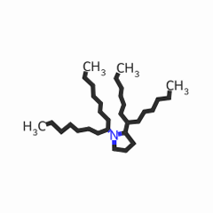 CCCCCCCC(CCCCCCC)N1CCCC1C(CCCCCC)CCCCCC